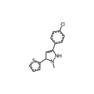 CN1NC(c2ccc(Cl)cc2)=CC1c1cccs1